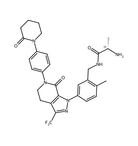 Cc1ccc(-n2nc(C(F)(F)F)c3c2C(=O)N(c2ccc(N4CCCCC4=O)cc2)CC3)cc1CNC(=O)[C@H](C)N